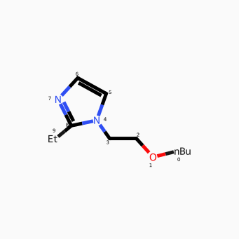 CCCCOCCn1ccnc1CC